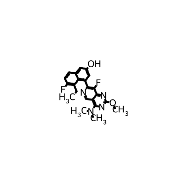 CCc1c(F)ccc2cc(O)cc(-c3ncc4c(N(C)C)nc(OC)nc4c3F)c12